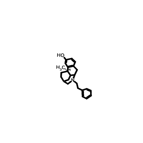 C[C@@]12CCC3CC1C(Cc1ccc(O)cc12)N(CCc1ccccc1)C3